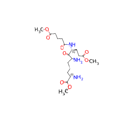 COC(=O)CCCC(=O)N[C@@H](CCC(=O)OC)C(=O)C(N)CCC[C@H](N)C(=O)OC